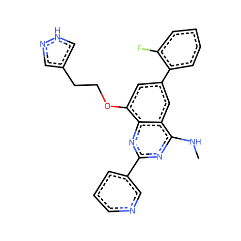 CNc1nc(-c2cccnc2)nc2c(OCCc3cn[nH]c3)cc(-c3ccccc3F)cc12